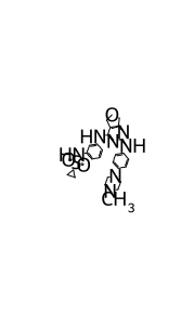 CN1CCN(c2ccc(Nc3nc4c(c(Nc5cccc(NS(=O)(=O)C6CC6)c5)n3)COC4)cc2)CC1